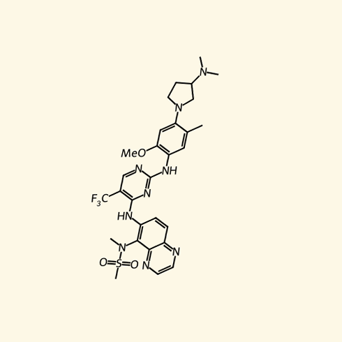 COc1cc(N2CCC(N(C)C)C2)c(C)cc1Nc1ncc(C(F)(F)F)c(Nc2ccc3nccnc3c2N(C)S(C)(=O)=O)n1